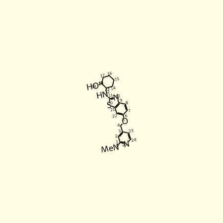 CNc1cc(COc2ccc3nc(NC4CCCC[C@H]4O)sc3c2)ccn1